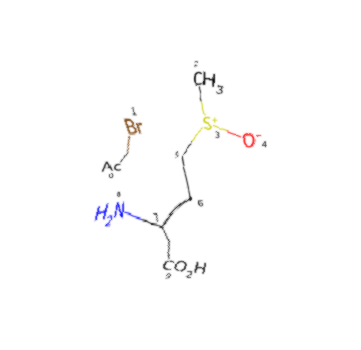 CC(=O)Br.C[S+]([O-])CCC(N)C(=O)O